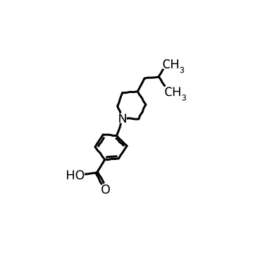 CC(C)CC1CCN(c2ccc(C(=O)O)cc2)CC1